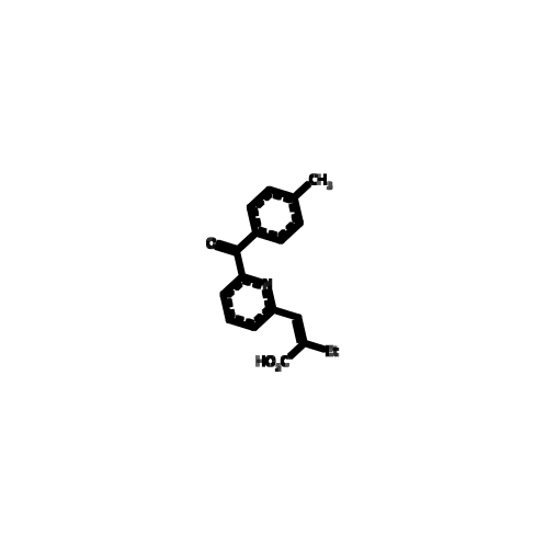 CCC(=Cc1cccc(C(=O)c2ccc(C)cc2)n1)C(=O)O